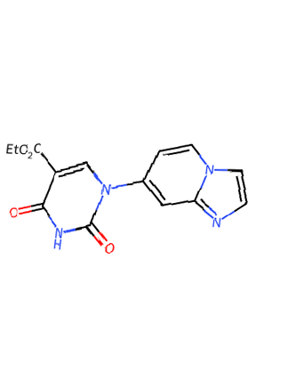 CCOC(=O)c1cn(-c2ccn3ccnc3c2)c(=O)[nH]c1=O